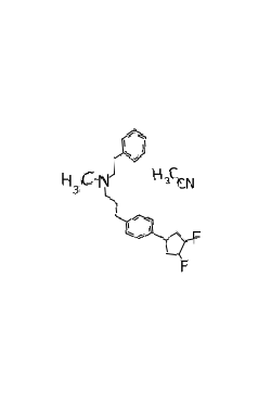 CC#N.CN(CCCc1ccc(C2CC(F)C(F)C2)cc1)CCc1ccccc1